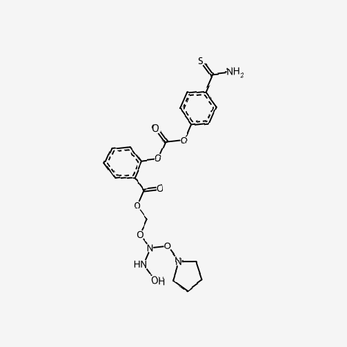 NC(=S)c1ccc(OC(=O)Oc2ccccc2C(=O)OCON(NO)ON2CCCC2)cc1